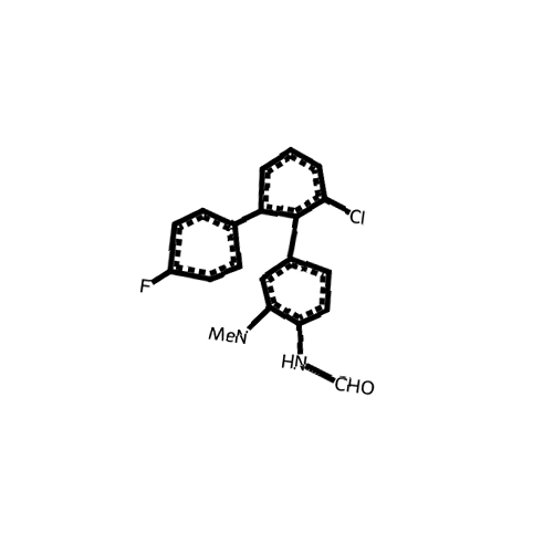 CNc1cc(-c2c(Cl)cccc2-c2ccc(F)cc2)ccc1NC=O